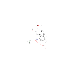 CCOC(=O)[C@H]1CC[C@H]2[C@@H]3CC[C@H]4C[C@H](OC(C)=O)[C@@H](OCC)C[C@]4(C)[C@H]3[C@H](NC(=O)OCC(Cl)(Cl)Cl)C[C@]12C